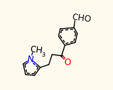 Cn1cccc1CCC(=O)c1ccc(C=O)cc1